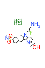 Cc1c(Cc2ccc(S(=O)(=O)N(C)C)cc2)c2nc(C(C)(C)O)ccc2n1C/C(F)=C/CN.Cl.Cl